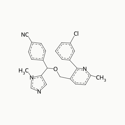 Cc1ccc(COC(c2ccc(C#N)cc2)c2cncn2C)c(-c2cccc(Cl)c2)n1